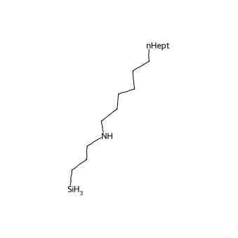 CCCCCCCCCCCCCNCCC[SiH3]